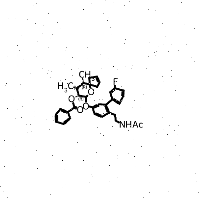 CC(=O)NCCc1ccc(OC2OC3(CC=CC3)[C@H](C)[C@@H](C)[C@H]2OC(=O)c2ccccc2)cc1-c1cccc(F)c1